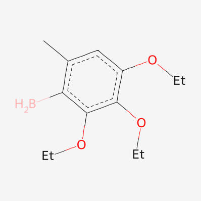 Bc1c(C)cc(OCC)c(OCC)c1OCC